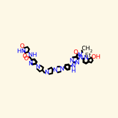 C=CCn1c(=O)c2cnc(Nc3ccc(N4CCN(C5CCN(CC6CCN(c7ccc(C(=O)NC8CCC(=O)NC8=O)nc7)CC6)CC5)CC4)cc3)nc2n1-c1ccc2c(n1)[C@@](O)(CC)CC2